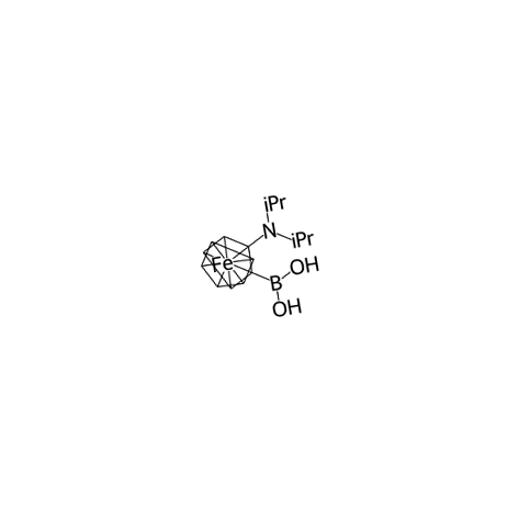 CC(C)N(C(C)C)[C]12[CH]3[CH]4[CH]5[C]1(B(O)O)[Fe]45321678[CH]2[CH]1[CH]6[CH]7[CH]28